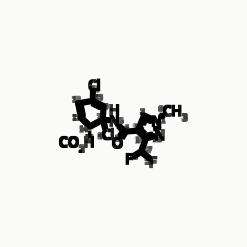 Cn1cc(C(=O)NC2(Cl)C=C(Cl)C=C[C@H]2C(=O)O)c(C(F)F)n1